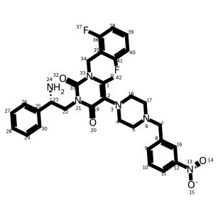 Cc1c(N2CCN(Cc3cccc([N+](=O)[O-])c3)CC2)c(=O)n(C[C@@H](N)c2ccccc2)c(=O)n1Cc1c(F)cccc1F